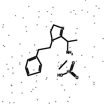 CC.CC(N)C1=NCCN1CCc1ccccc1.O=[SH](=O)O